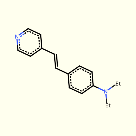 CCN(CC)c1ccc(C=Cc2ccncc2)cc1